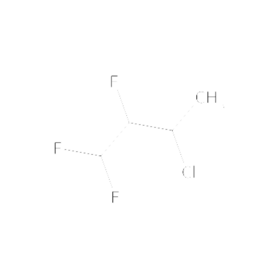 CC(Cl)C(F)C(F)F